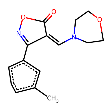 Cc1cccc(C2=NOC(=O)C2=CN2CCOCC2)c1